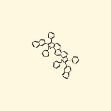 c1ccc(-c2c(-c3ccc4ccccc4c3)n(-c3ccccc3)c3c2ccc2c4ccc5c(-c6ccccc6)c(-c6ccc7ccccc7c6)n(-c6ccccc6)c5c4ccc23)cc1